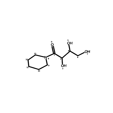 O=C(C(O)C(O)CO)N1CCCCC1